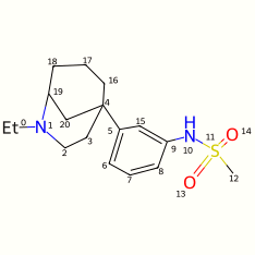 CCN1CCC2(c3cccc(NS(C)(=O)=O)c3)CCCC1C2